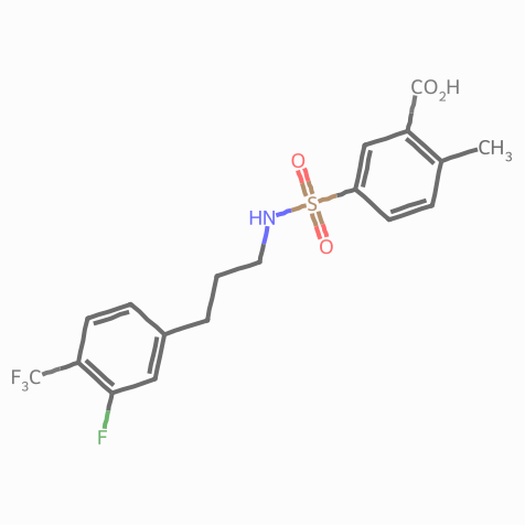 Cc1ccc(S(=O)(=O)NCCCc2ccc(C(F)(F)F)c(F)c2)cc1C(=O)O